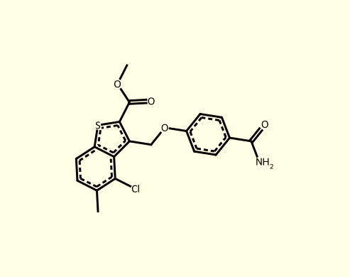 COC(=O)c1sc2ccc(C)c(Cl)c2c1COc1ccc(C(N)=O)cc1